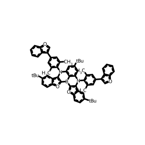 Cc1cc(-c2coc3ccccc23)cc(C)c1N1c2cc(C(C)(C)C)cc3c2B(c2oc4ccc(C(C)(C)C)cc4c21)c1oc2ccc(C(C)(C)C)cc2c1N3c1c(C)cc(-c2coc3ccccc23)cc1C